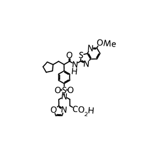 COc1ccc2nc(NC(=O)C(CC3CCCC3)c3ccc(S(=O)(=O)N(CCC(=O)O)Cc4ncco4)cc3)sc2n1